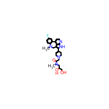 CN(CC(O)CO)C(=O)CN1CC=C(c2[nH]c3nccc4c3c2CN(C)c2ccc(F)cc2-4)CC1